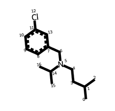 CC(C)CCN(Cc1cccc(Cl)c1)C(C)C